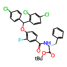 CC(C)(C)OC(=O)[C@@H](Cc1ccccc1)NC(=O)c1ccc(OC(c2ccc(Cl)cc2)c2ccc(Cl)cc2Cl)c(F)c1